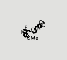 COc1ccc2ncc(F)c(CC[C@H]3CC[CH]C(Cc4cc5c(cn4)OCCO5)O3)c2n1